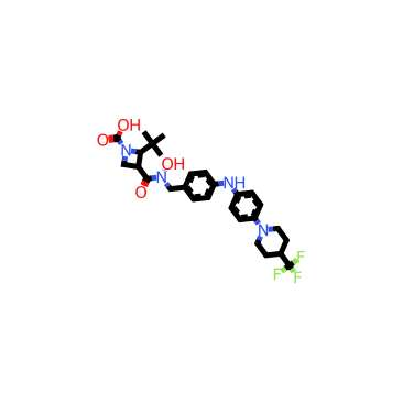 CC(C)(C)C1C(C(=O)N(O)Cc2ccc(Nc3ccc(N4CCC(C(F)(F)F)CC4)cc3)cc2)CN1C(=O)O